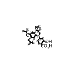 O=C(O)c1ccc(N(Cc2cncs2)c2ccc(OC(F)F)c(OC(F)F)c2)cc1O